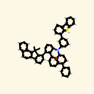 CC1(C)c2c(-c3cccc(N(c4ccc(-c5ccccc5)cc4)c4cccc(-c5cccc6c5sc5ccccc56)c4)c3-c3ccccc3)cccc2-c2ccc3ccccc3c21